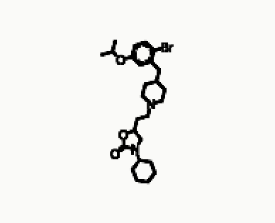 CC(C)Oc1ccc(Br)c(CC2CCN(CCC3CN(C4CCCCC4)C(=O)O3)CC2)c1